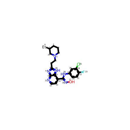 CCC1CCCN(CCc2nc3nccc(/C(=N/O)Nc4ccc(F)c(Cl)c4)c3[nH]2)C1